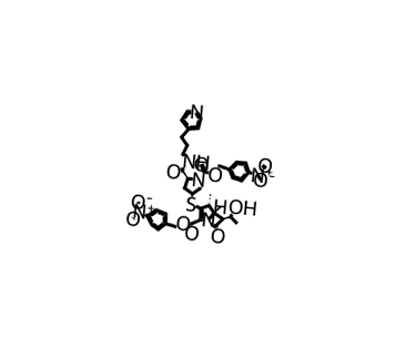 CC(O)[C@H]1C(=O)N2C(C(=O)OCc3ccc([N+](=O)[O-])cc3)=C(S[C@H]3C[C@@H](C(=O)NCCCc4ccncc4)N(C(=O)OCc4ccc([N+](=O)[O-])cc4)C3)[C@H](C)[C@H]12